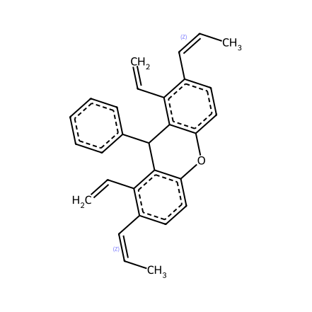 C=Cc1c(/C=C\C)ccc2c1C(c1ccccc1)c1c(ccc(/C=C\C)c1C=C)O2